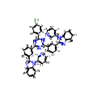 Fc1ccc(-c2nc(-c3cccc(-c4nc5ccccc5n4-c4cccnc4)c3)nc(-c3cccc(-c4nc5ccccc5n4-c4cccnc4)c3)n2)cc1